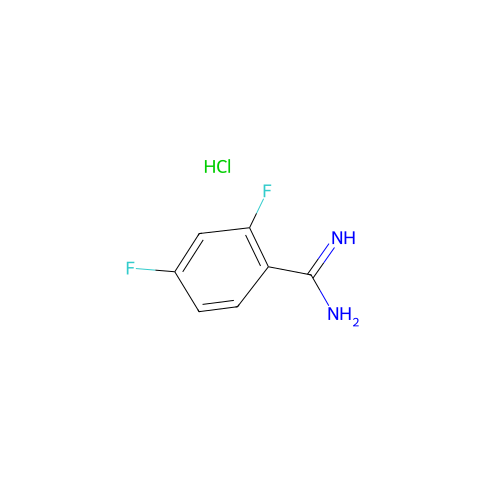 Cl.N=C(N)c1ccc(F)cc1F